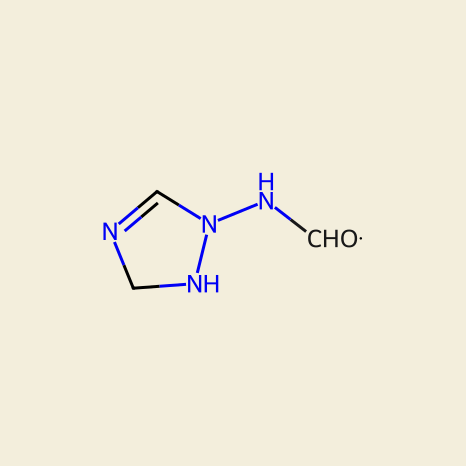 O=[C]NN1C=NCN1